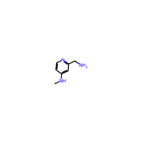 CNc1ccnc(CN)c1